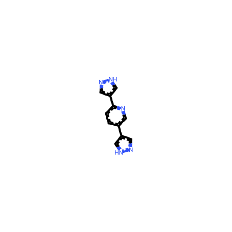 c1cc(-c2cn[nH]c2)ncc1-c1cn[nH]c1